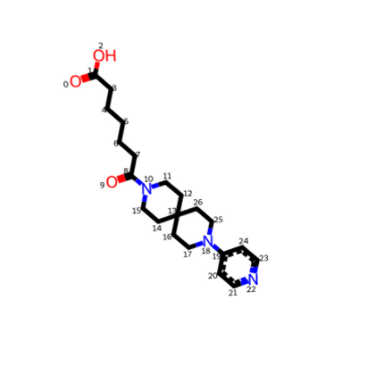 O=C(O)CCCCCC(=O)N1CCC2(CC1)CCN(c1ccncc1)CC2